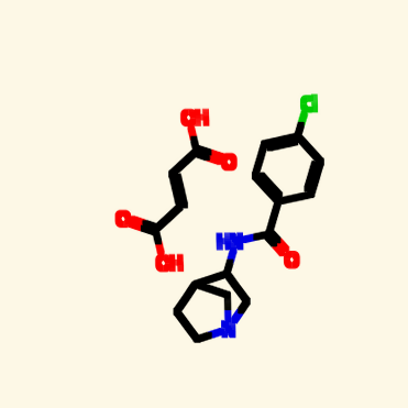 O=C(NC1CN2CCC1C2)c1ccc(Cl)cc1.O=C(O)C=CC(=O)O